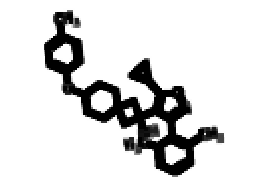 Cc1ccc(OC2CCC3(CC2)CC(O)(c2c(-c4c(C)cccc4C)noc2C2CC2)C3)cc1